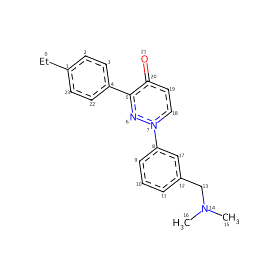 CCc1ccc(-c2nn(-c3cccc(CN(C)C)c3)ccc2=O)cc1